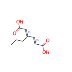 CCCC(/C=C/C(=O)O)=C\C(=O)O